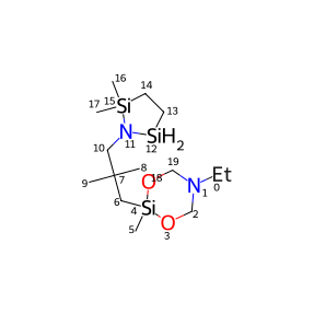 CCN1CO[Si](C)(CC(C)(C)CN2[SiH2]CC[Si]2(C)C)OC1